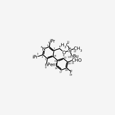 CCCCCc1c(C(C)C)nc(C(C)C)c(CO[Si](C)(C)CCCC)c1-c1ccc(F)c(C=O)c1